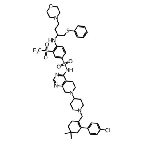 CC1(C)CCC(CN2CCC(N3CCc4c(ncnc4NS(=O)(=O)c4ccc(NC(CCN5CCOCC5)CSc5ccccc5)c(S(=O)(=O)C(F)(F)F)c4)C3)CC2)=C(c2ccc(Cl)cc2)C1